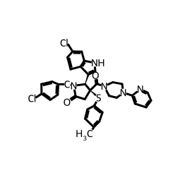 Cc1ccc(S[C@@]2(C(=O)N3CCN(c4ccccn4)CC3)CC(=O)N(Cc3ccc(Cl)cc3)[C@H]2c2c[nH]c3cc(Cl)ccc23)cc1